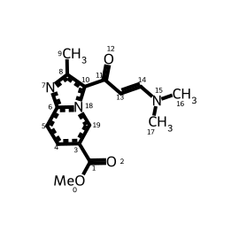 COC(=O)c1ccc2nc(C)c(C(=O)/C=C/N(C)C)n2c1